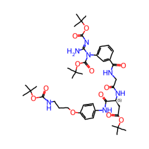 CC(C)(C)OC(=O)C[C@H](NC(=O)CNC(=O)c1cccc(N(C(=O)OC(C)(C)C)C(N)=NC(=O)OC(C)(C)C)c1)C(=O)Nc1ccc(OCCCNC(=O)OC(C)(C)C)cc1